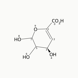 O=C(O)C1=C[C@@H](O)C(O)C(O)O1